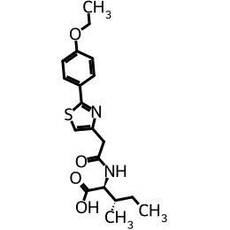 CCOc1ccc(-c2nc(CC(=O)N[C@H](C(=O)O)[C@@H](C)CC)cs2)cc1